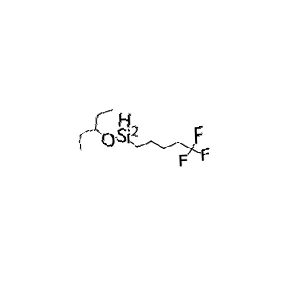 CCC(CC)O[SiH2]CCCCC(F)(F)F